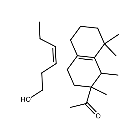 CC(=O)C1(C)CCC2=C(C1C)C(C)(C)CCC2.CC/C=C\CCO